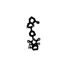 O=C1[C@@H]2[C@H](C(=O)N1c1ccc(-c3ncc4cccc(Br)c4n3)cc1)C1C=C[C@H]2C1